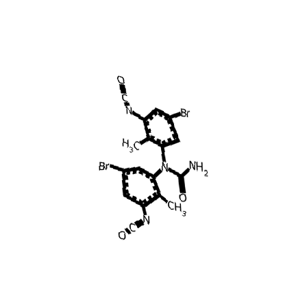 Cc1c(N=C=O)cc(Br)cc1N(C(N)=O)c1cc(Br)cc(N=C=O)c1C